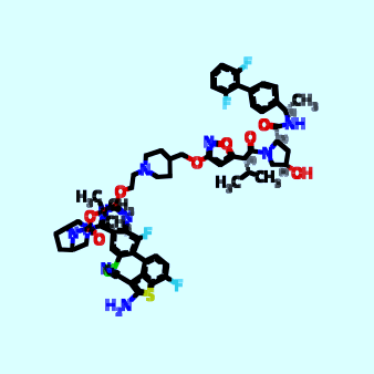 CC(C)[C@@H](C(=O)N1C[C@H](O)C[C@H]1C(=O)N[C@@H](C)c1ccc(-c2c(F)cccc2F)cc1)c1cc(OCC2CCN(CCOc3nc(N4CC5CCC(C4)N5C(=O)OC(C)(C)C)c4cc(Cl)c(-c5ccc(F)c6sc(N)c(C#N)c56)c(F)c4n3)CC2)no1